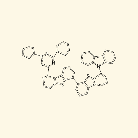 c1ccc(-c2nc(-c3ccccc3)nc(-c3cccc4sc5c(-c6cccc7c6sc6c(-n8c9ccccc9c9ccccc98)cccc67)cccc5c34)n2)cc1